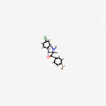 CSc1ccc(C(=O)C(C)(Cc2ccc(Cl)cc2)N(C)C)cc1